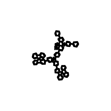 c1ccc(-c2ccc(N(c3ccc(-c4ccccc4)cc3)c3ccc(-c4ccc(-n5c6ccc(-c7ccc8c(c7)C7(c9ccccc9-c9ccccc97)c7ccccc7-8)cc6c6cc(-c7ccc8c(c7)C7(c9ccccc9-c9ccccc97)c7ccccc7-8)ccc65)cc4)c4nsnc34)cc2)cc1